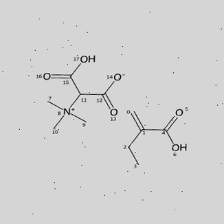 C=C(CC)C(=O)O.C[N+](C)(C)C(C(=O)[O-])C(=O)O